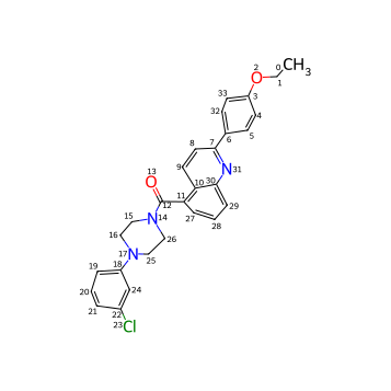 CCOc1ccc(-c2ccc3c(C(=O)N4CCN(c5cccc(Cl)c5)CC4)cccc3n2)cc1